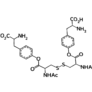 CC(=O)NC(CSSCC(NC(C)=O)C(=O)Oc1ccc(CC(N)C(=O)O)cc1)C(=O)Oc1ccc(CC(N)C(=O)O)cc1